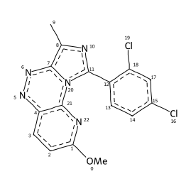 COc1ccc2nnc3c(C)nc(-c4ccc(Cl)cc4Cl)n3c2n1